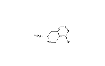 O=C(O)C1Cc2cccc(Br)c2CN1